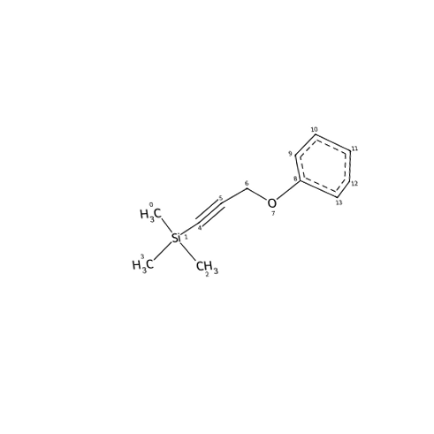 C[Si](C)(C)C#CCOc1ccccc1